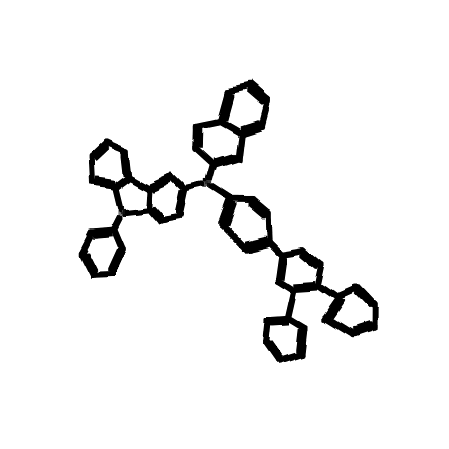 c1ccc(-c2ccc(-c3ccc(N(c4ccc5ccccc5c4)c4ccc5c(c4)c4ccccc4n5-c4ccccc4)cc3)cc2-c2ccccc2)cc1